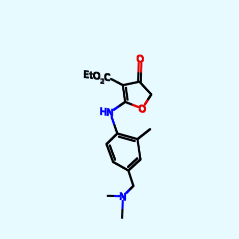 CCOC(=O)C1=C(Nc2ccc(CN(C)C)cc2C)OCC1=O